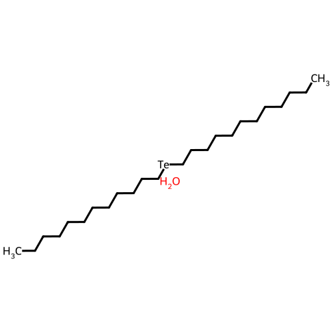 CCCCCCCCCCCC[Te]CCCCCCCCCCCC.O